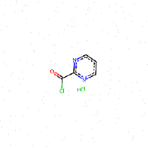 Cl.O=C(Cl)c1ncccn1